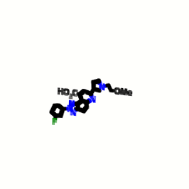 COCCn1ccc(-c2cc(C(=O)O)c3c(ccc4nn(-c5cccc(F)c5)nc43)n2)c1